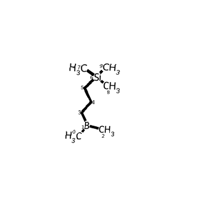 CB(C)CCC[Si](C)(C)C